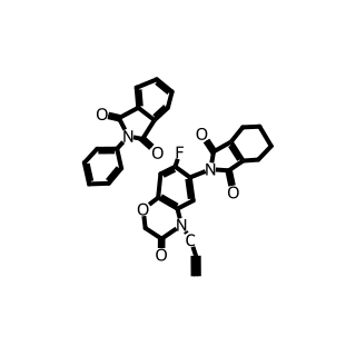 C#CCN1C(=O)COc2cc(F)c(N3C(=O)C4=C(CCCC4)C3=O)cc21.O=C1c2ccccc2C(=O)N1c1ccccc1